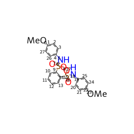 COc1ccc(NS(=O)(=O)c2ccccc2S(=O)(=O)Nc2ccc(OC)cc2)cc1